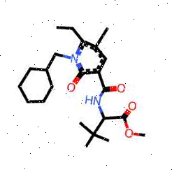 CCc1c(C)cc(C(=O)NC(C(=O)OC)C(C)(C)C)c(=O)n1CC1CCCCC1